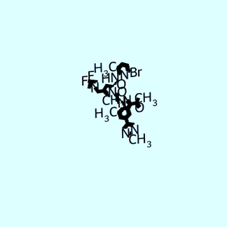 CC(=O)c1nn(CC(=O)N2C(C)=C(CN3CC(F)(F)C3)C[C@H]2C(=O)Nc2nc(Br)ccc2C)c2c(C)cc(-c3cnc(C)nc3)cc12